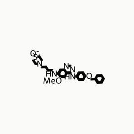 COc1cc2c(Nc3ccc(OCc4ccccc4)cc3)ncnc2cc1NCCCCN1CC[S+]([O-])CC1